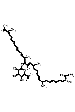 C\C(=C/C=C/C=C/C=C/C=C/C(C)C(OC1OC(C(=O)O)C(O)C(O)C1O)/C(C)=C/C(C)CCC/C=C/C(C)C/C=C/CCCN(C)C(=N)N)C(=O)O